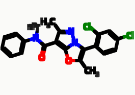 CCCN(C(=O)c1c(C)nn2c(-c3ccc(Cl)cc3Cl)c(C)oc12)c1ccccc1